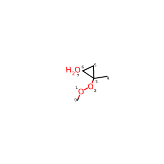 COOC1(C)CC1.O